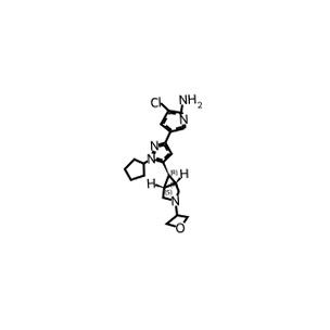 Nc1ncc(-c2cc([C@H]3[C@@H]4CN(C5COC5)C[C@@H]43)n(C3CCCC3)n2)cc1Cl